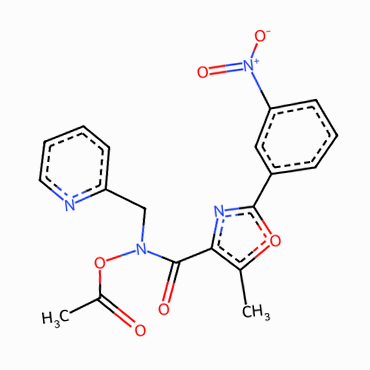 CC(=O)ON(Cc1ccccn1)C(=O)c1nc(-c2cccc([N+](=O)[O-])c2)oc1C